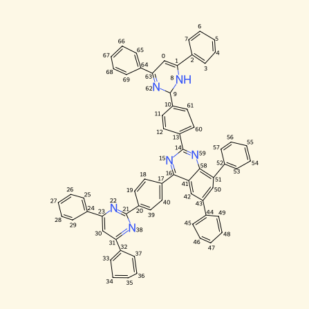 C1=C(c2ccccc2)NC(c2ccc(-c3nc(-c4ccc(-c5nc(-c6ccccc6)cc(-c6ccccc6)n5)cc4)c4cc(-c5ccccc5)cc(-c5ccccc5)c4n3)cc2)N=C1c1ccccc1